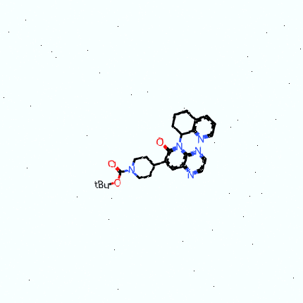 CC(C)(C)OC(=O)N1CCC(c2cc3nccnc3n(C3CCCc4cccnc43)c2=O)CC1